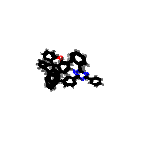 c1ccc(-c2cccc(-c3nc(-c4ccccc4)nc(-c4ccccc4-c4cccc5c4Oc4ccccc4C54c5ccccc5-c5ccccc54)n3)c2)cc1